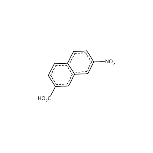 O=C(O)c1ccc2ccc([N+](=O)[O-])cc2c1